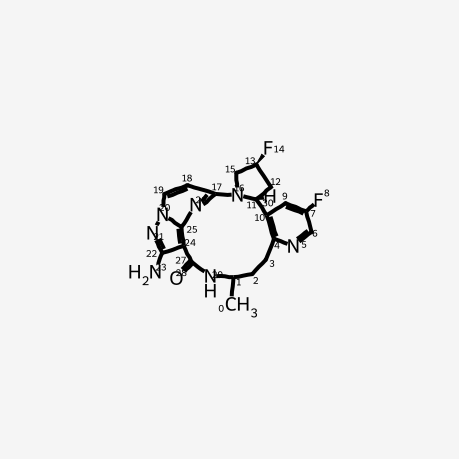 CC1CCc2ncc(F)cc2[C@H]2C[C@H](F)CN2c2ccn3nc(N)c(c3n2)C(=O)N1